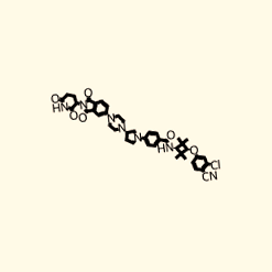 CC1(C)[C@H](NC(=O)c2ccc(N3CC[C@@H](N4CCN(c5ccc6c(c5)C(=O)N(C5CCC(=O)NC5=O)C6=O)CC4)C3)cc2)C(C)(C)[C@H]1Oc1ccc(C#N)c(Cl)c1